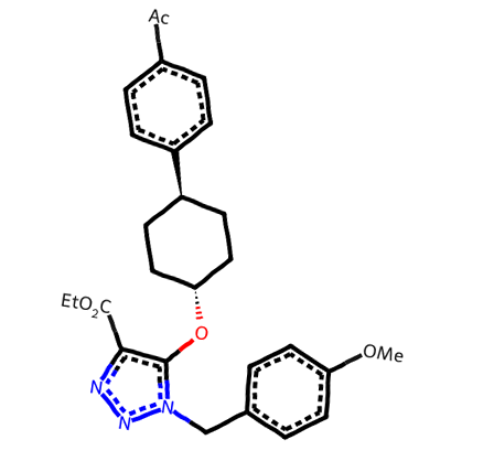 CCOC(=O)c1nnn(Cc2ccc(OC)cc2)c1O[C@H]1CC[C@H](c2ccc(C(C)=O)cc2)CC1